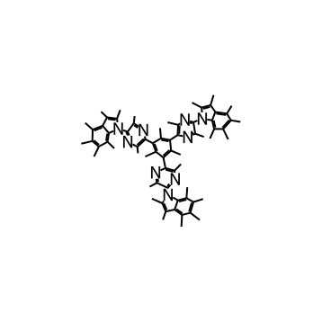 Cc1nc(-n2c(C)c(C)c3c(C)c(C)c(C)c(C)c32)c(C)nc1-c1c(C)c(-c2nc(C)c(-n3c(C)c(C)c4c(C)c(C)c(C)c(C)c43)nc2C)c(C)c(-c2nc(C)c(-n3c(C)c(C)c4c(C)c(C)c(C)c(C)c43)nc2C)c1C